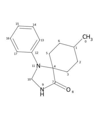 CC1CCC2(CC1)C(=O)NCN2c1ccccc1